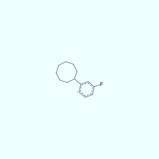 Fc1cc[c]c(C2CCCCCCC2)c1